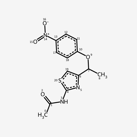 CC(=O)Nc1nc(C(C)Oc2ccc([N+](=O)[O-])cc2)cs1